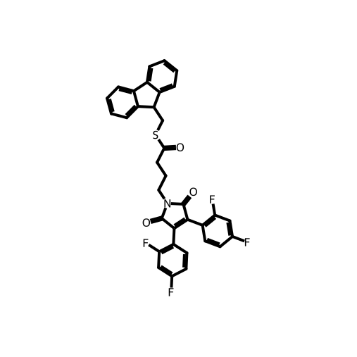 O=C(CCCN1C(=O)C(c2ccc(F)cc2F)=C(c2ccc(F)cc2F)C1=O)SCC1c2ccccc2-c2ccccc21